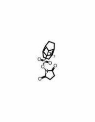 CC1C2=C3CCC(=C1CC2)C3S(=O)(=O)ON1C(=O)CCC1=O